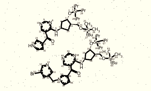 CC(C)[Si](O[C@H]1C[C@H](Nc2ncncc2C(=O)c2cc[nH]c2)C[C@@H]1CO[Si](C)(C)C(C)(C)C)(C(C)C)C(C)C.CC(C)[Si](O[C@H]1C[C@H](Nc2ncncc2C(=O)c2ccn(Cc3cncc(Br)c3)c2)C[C@@H]1CO[Si](C)(C)C(C)(C)C)(C(C)C)C(C)C